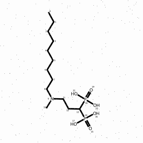 CCCCCCCCCN(C)CCC(P(=O)(O)O)P(=O)(O)O